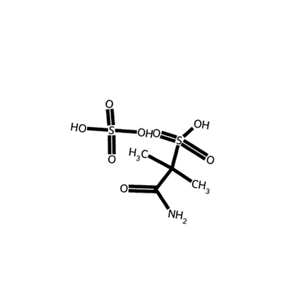 CC(C)(C(N)=O)S(=O)(=O)O.O=S(=O)(O)O